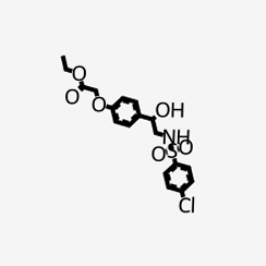 CCOC(=O)COc1ccc(C(O)CNS(=O)(=O)c2ccc(Cl)cc2)cc1